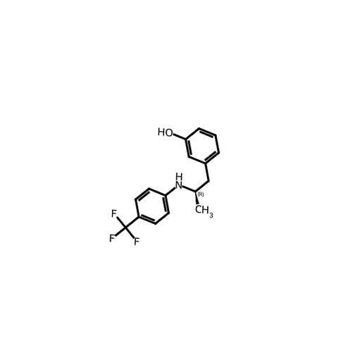 C[C@H](Cc1cccc(O)c1)Nc1ccc(C(F)(F)F)cc1